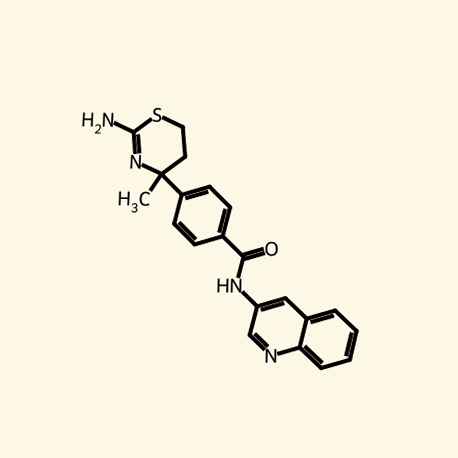 CC1(c2ccc(C(=O)Nc3cnc4ccccc4c3)cc2)CCSC(N)=N1